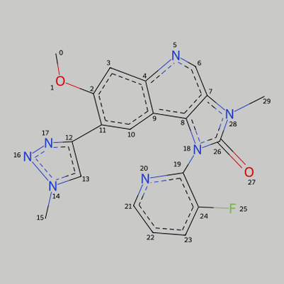 COc1cc2ncc3c(c2cc1-c1cn(C)nn1)n(-c1ncccc1F)c(=O)n3C